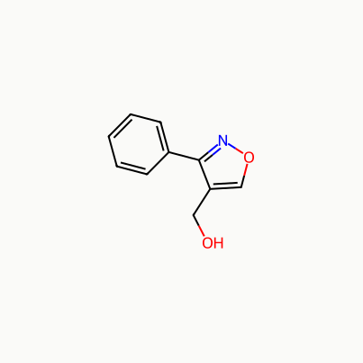 OCc1conc1-c1ccccc1